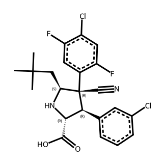 CC(C)(C)C[C@@H]1N[C@@H](C(=O)O)[C@H](c2cccc(Cl)c2)[C@@]1(C#N)c1cc(F)c(Cl)cc1F